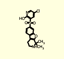 CC1(C)NCCc2c1oc1cc(S(=O)(=O)c3cc(Cl)cnc3O)ccc21